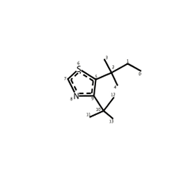 CCC(C)(C)c1scnc1C(C)(C)C